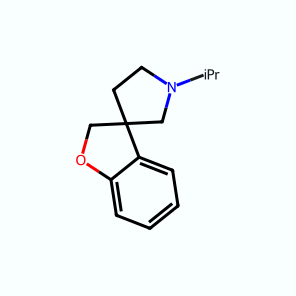 CC(C)N1CCC2(COc3ccccc32)C1